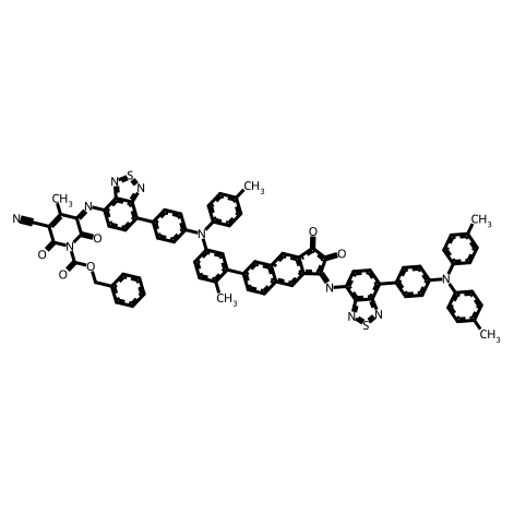 CC1=C(C#N)C(=O)N(C(=O)OCc2ccccc2)C(=O)/C1=N\c1ccc(-c2ccc(N(c3ccc(C)cc3)c3ccc(C)c(-c4ccc5cc6/c(=N/c7ccc(-c8ccc(N(c9ccc(C)cc9)c9ccc(C)cc9)cc8)c8nsnc78)c(=O)c(=O)c6cc5c4)c3)cc2)c2nsnc12